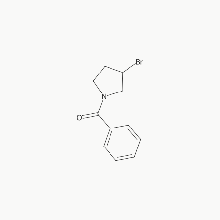 O=C(c1ccccc1)N1CCC(Br)C1